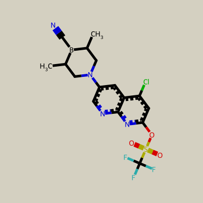 CC1CN(c2cnc3nc(OS(=O)(=O)C(F)(F)F)cc(Cl)c3c2)CC(C)B1C#N